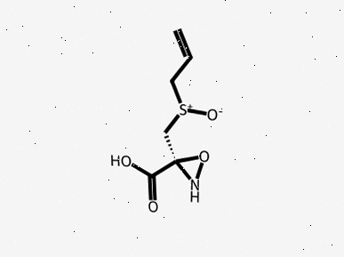 C=CC[S+]([O-])C[C@@]1(C(=O)O)NO1